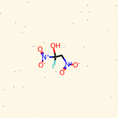 O=[N+]([O-])CC(O)(F)[N+](=O)[O-]